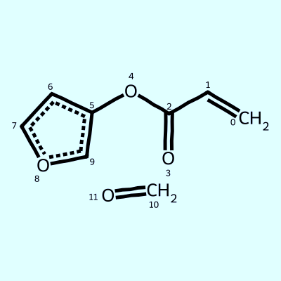 C=CC(=O)Oc1ccoc1.C=O